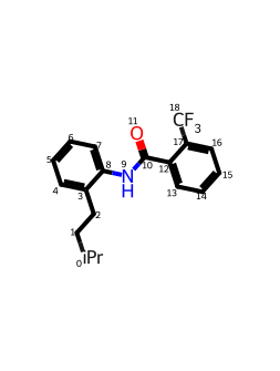 CC(C)CCc1ccccc1NC(=O)c1ccccc1C(F)(F)F